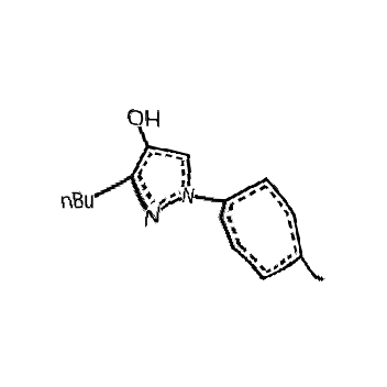 CCCCc1nn(-c2ccc(C)cc2)cc1O